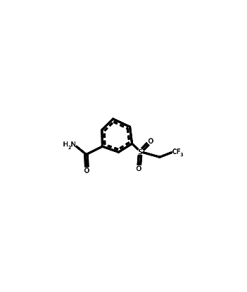 NC(=O)c1cccc(S(=O)(=O)CC(F)(F)F)c1